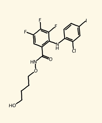 O=C(NOCCCCO)c1cc(F)c(F)c(F)c1Nc1ccc(I)cc1Cl